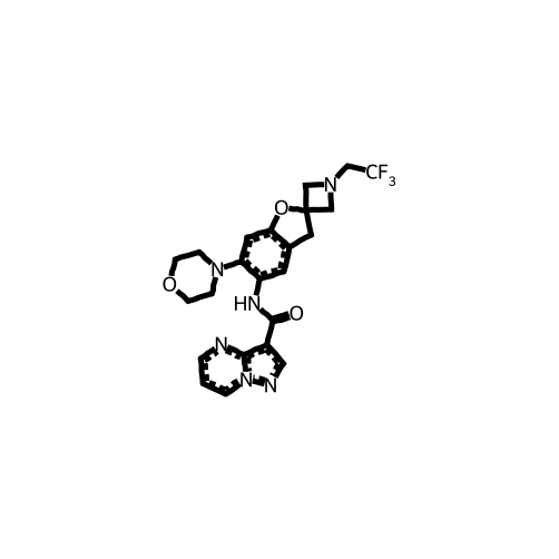 O=C(Nc1cc2c(cc1N1CCOCC1)OC1(C2)CN(CC(F)(F)F)C1)c1cnn2cccnc12